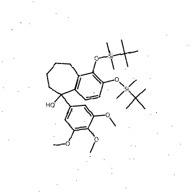 COc1cc(C2(O)CCCCc3c2ccc(O[Si](C)(C)C(C)(C)C)c3O[Si](C)(C)C(C)(C)C)cc(OC)c1OC